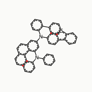 c1ccc(-c2ccccc2N(c2cc(N(c3ccccc3)c3ccccc3)c3c(ccc4ccccc43)c2)c2ccc3c(c2)sc2ccccc23)cc1